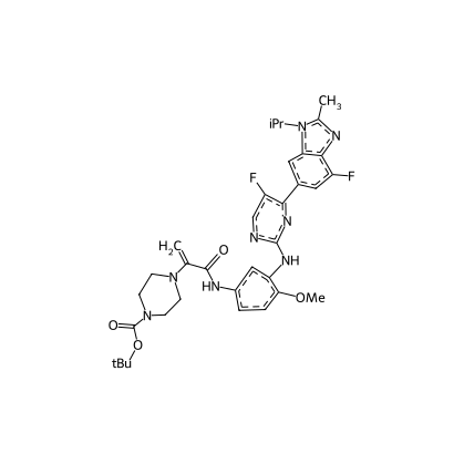 C=C(C(=O)Nc1ccc(OC)c(Nc2ncc(F)c(-c3cc(F)c4nc(C)n(C(C)C)c4c3)n2)c1)N1CCN(C(=O)OC(C)(C)C)CC1